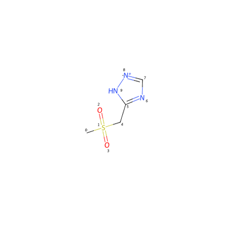 CS(=O)(=O)CC1=NC=[N+]N1